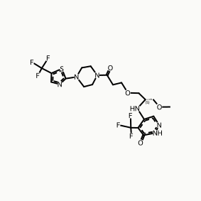 COC[C@@H](COCCC(=O)N1CCN(c2ncc(C(F)(F)F)s2)CC1)Nc1cn[nH]c(=O)c1C(F)(F)F